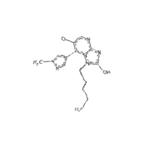 CCCCCn1c(O)nc2ncc(Cl)c(-c3cnn(C)c3)c21